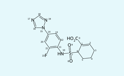 O=C(O)C1=CCCCC1S(=O)(=O)Nc1ccc(-n2cncn2)cc1F